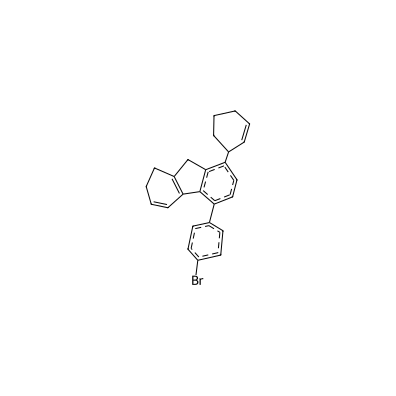 Brc1ccc(-c2ccc(C3C=CCCC3)c3c2C2=C(CCC=C2)C3)cc1